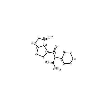 NC(=O)[C](C(=O)N1CCC2OCC(=O)C21)C1CCCCC1